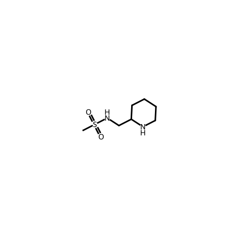 CS(=O)(=O)NCC1CCCCN1